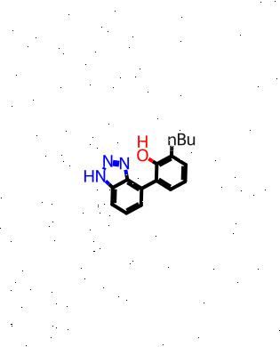 CCCCc1cccc(-c2cccc3[nH]nnc23)c1O